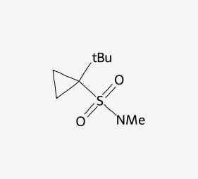 CNS(=O)(=O)C1(C(C)(C)C)CC1